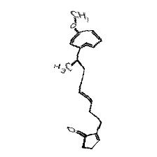 COc1cccc(C(C)C/C=C/CCC2=CCCC2=O)c1